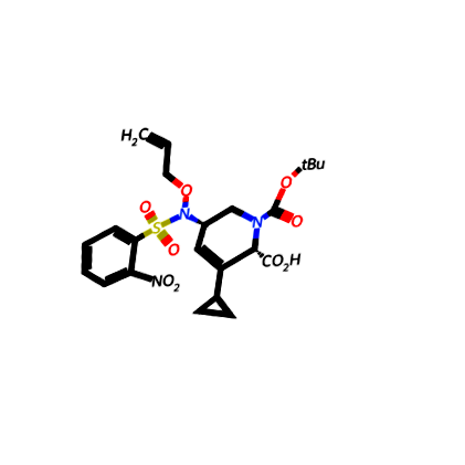 C=CCON([C@@H]1C=C(C2CC2)[C@@H](C(=O)O)N(C(=O)OC(C)(C)C)C1)S(=O)(=O)c1ccccc1[N+](=O)[O-]